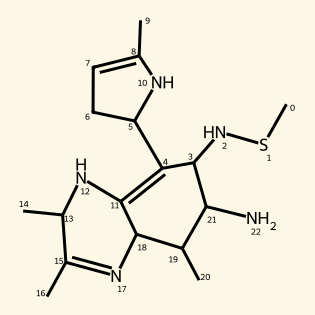 CSNC1C(C2CC=C(C)N2)=C2NC(C)C(C)=NC2C(C)C1N